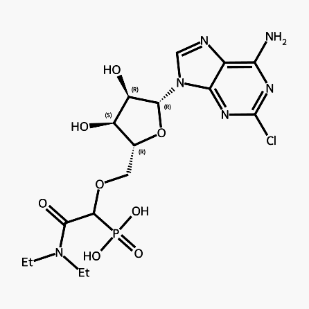 CCN(CC)C(=O)C(OC[C@H]1O[C@@H](n2cnc3c(N)nc(Cl)nc32)[C@H](O)[C@@H]1O)P(=O)(O)O